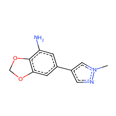 Cn1cc(-c2cc(N)c3c(c2)OCO3)cn1